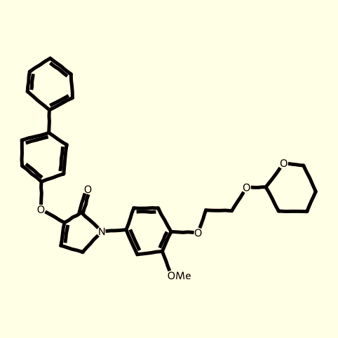 COc1cc(N2CC=C(Oc3ccc(-c4ccccc4)cc3)C2=O)ccc1OCCOC1CCCCO1